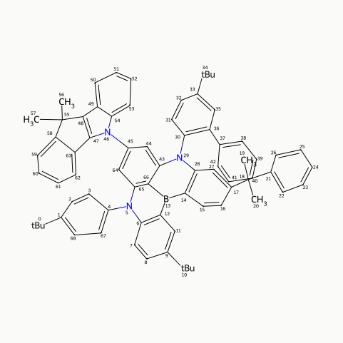 CC(C)(C)c1ccc(N2c3ccc(C(C)(C)C)cc3B3c4ccc(C(C)(C)c5ccccc5)cc4N(c4ccc(C(C)(C)C)cc4-c4ccccc4)c4cc(-n5c6c(c7ccccc75)C(C)(C)c5ccccc5-6)cc2c43)cc1